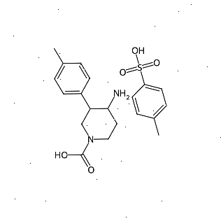 Cc1ccc(C2CN(C(=O)O)CCC2N)cc1.Cc1ccc(S(=O)(=O)O)cc1